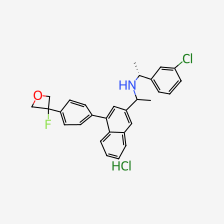 CC(N[C@H](C)c1cccc(Cl)c1)c1cc(-c2ccc(C3(F)COC3)cc2)c2ccccc2c1.Cl